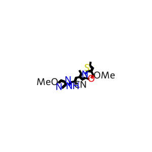 COC(=O)c1cc(C)sc1-n1c(C)cc(C=C(C#N)c2nc3cc(OC)ncc3[nH]2)c1C